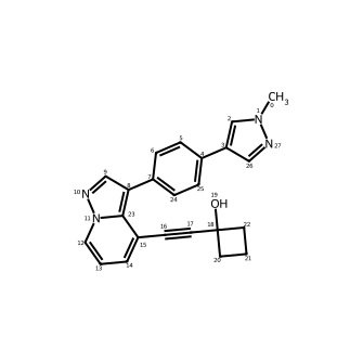 Cn1cc(-c2ccc(-c3cnn4cccc(C#CC5(O)CCC5)c34)cc2)cn1